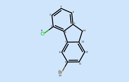 Clc1cccc2c1-c1cc(Br)ccc1C2